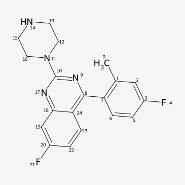 Cc1cc(F)ccc1-c1nc(N2CCNCC2)nc2cc(F)ccc12